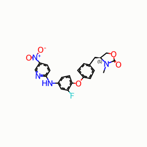 CN1C(=O)OC[C@@H]1Cc1ccc(Oc2ccc(Nc3ccc([N+](=O)[O-])cn3)cc2F)cc1